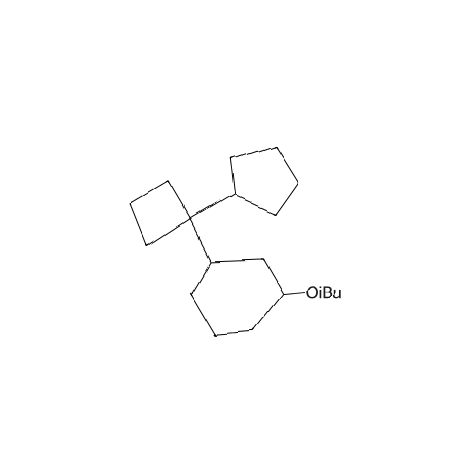 CC(C)COC1CCCC(C2(C3CCCC3)CCC2)C1